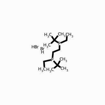 Br.Br.CCP(CCP(CC)C(C)(C)C)C(C)(C)C